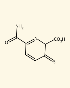 NC(=O)C1=NC(C(=O)O)C(=S)C=C1